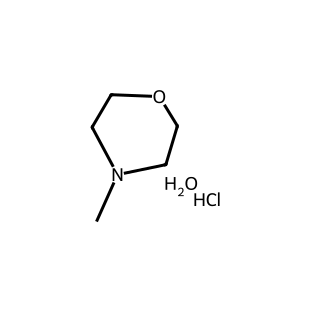 CN1CCOCC1.Cl.O